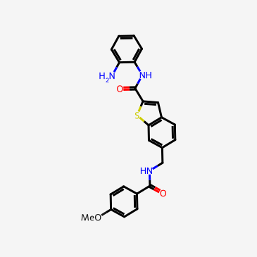 COc1ccc(C(=O)NCc2ccc3cc(C(=O)Nc4ccccc4N)sc3c2)cc1